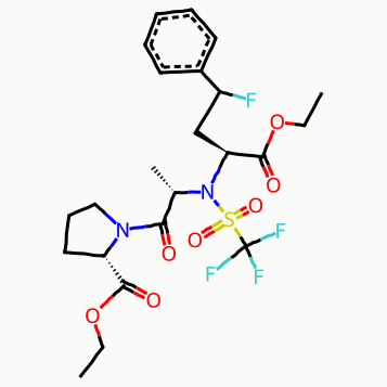 CCOC(=O)[C@@H]1CCCN1C(=O)[C@H](C)N([C@@H](CC(F)c1ccccc1)C(=O)OCC)S(=O)(=O)C(F)(F)F